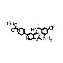 Cc1nc(N[C@H](C)c2cc(N)cc(C(F)(F)F)c2)c2cc(C3=CCN(C(=O)OC(C)(C)C)CC3)ncc2n1